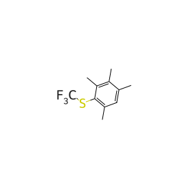 Cc1cc(C)c(SC(F)(F)F)c(C)c1C